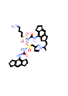 CC(CC1Cc2cc3c(c(NC(=O)NS(=O)(=O)CCCCN)c2C1)CCC3)n1ccc(CS(=O)(=O)NC(=O)Nc2c3c(cc4c2CCC4)CCC3)n1